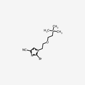 C[Si](C)(C)CCOCCn1cc(C#N)nc1Br